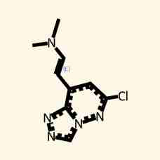 CN(C)/C=C/c1cc(Cl)nn2cnnc12